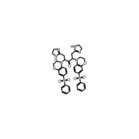 O=C(C(CC1=NCCN1)N1CCOc2cc(S(=O)(=O)c3ccccc3)ccc21)C(CC1=NCCN1)N1CCOc2cc(S(=O)(=O)c3ccccc3)ccc21